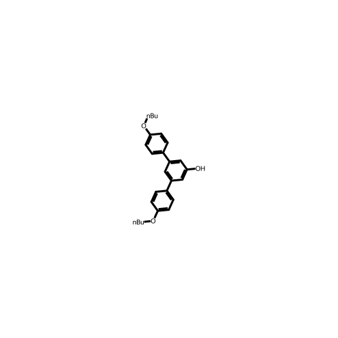 CCCCOc1ccc(-c2cc(O)cc(-c3ccc(OCCCC)cc3)c2)cc1